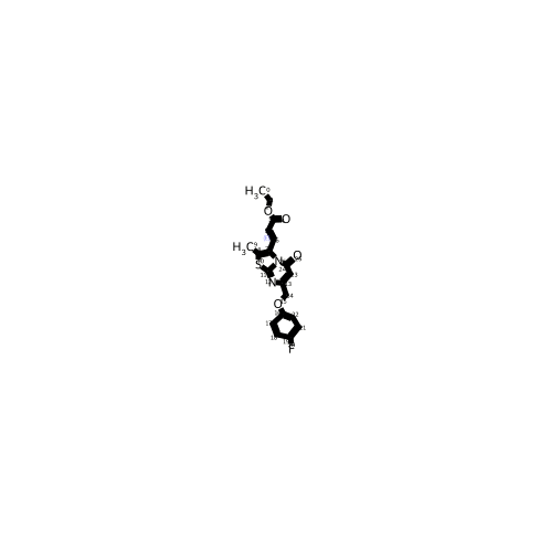 CCOC(=O)/C=C/c1c(C)sc2nc(COc3ccc(F)cc3)cc(=O)n12